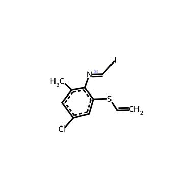 C=CSc1cc(Cl)cc(C)c1/N=C/I